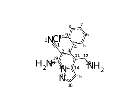 N#Cc1c(-c2ccccc2Cl)c(CN)c2ccnn2c1N